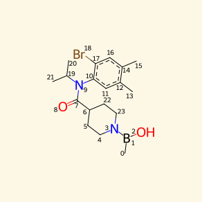 CB(O)N1CCC(C(=O)N(c2cc(C)c(C)cc2Br)C(C)C)CC1